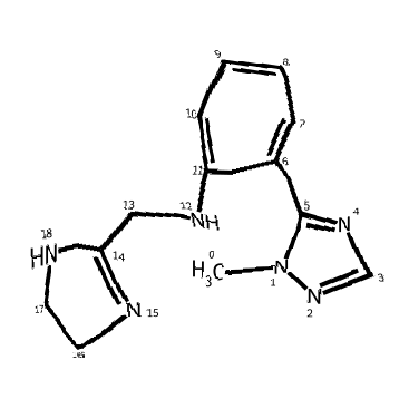 Cn1ncnc1-c1ccccc1NCC1=NCCN1